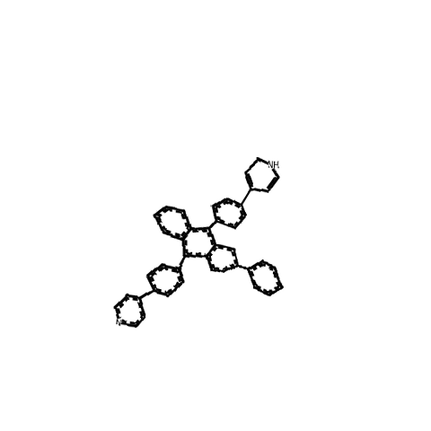 C1=CC(c2ccc(-c3c4ccccc4c(-c4ccc(-c5ccncc5)cc4)c4ccc(-c5ccccc5)cc34)cc2)=CCN1